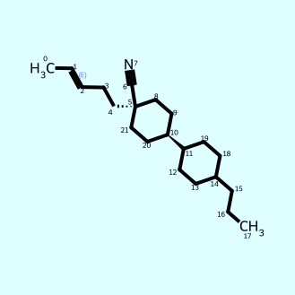 C/C=C/CC[C@]1(C#N)CC[C@@H](C2CCC(CCC)CC2)CC1